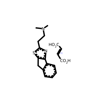 CN(C)CCc1nc2c(s1)Cc1ccccc1-2.O=C(O)/C=C/C(=O)O